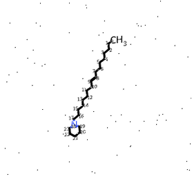 CCCCCCCCC=CCCCCCCCCN1CCCCC1